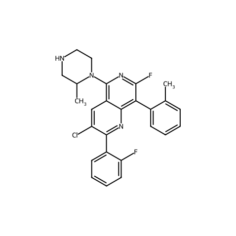 Cc1ccccc1-c1c(F)nc(N2CCNCC2C)c2cc(Cl)c(-c3ccccc3F)nc12